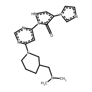 CN(C)CC1CCCN(c2cc(-n3[nH]cc(-n4ccnc4)c3=O)ncn2)C1